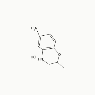 CC1CNc2cc(N)ccc2O1.Cl